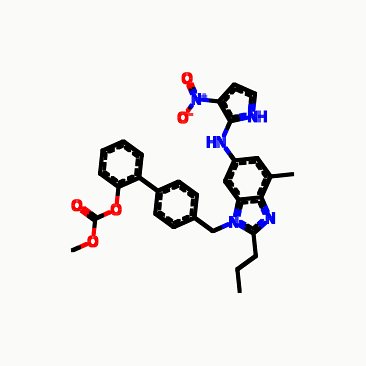 CCCc1nc2c(C)cc(Nc3[nH]ccc3[N+](=O)[O-])cc2n1Cc1ccc(-c2ccccc2OC(=O)OC)cc1